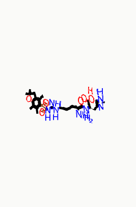 Cc1c(C)c(S(=O)(=O)NC(=N)NCCC[C@H](N)C(=O)N[C@@H](Cc2c[nH]cn2)C(=O)O)c(C)c2c1OC(C)(C)C2